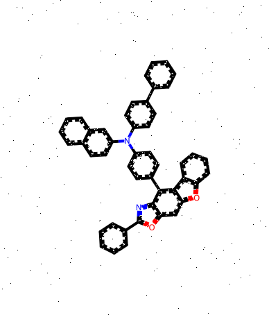 c1ccc(-c2ccc(N(c3ccc(-c4c5nc(-c6ccccc6)oc5cc5oc6ccccc6c45)cc3)c3ccc4ccccc4c3)cc2)cc1